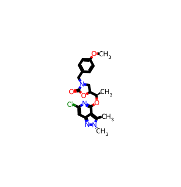 COc1ccc(CN2CC([C@@H](C)Oc3nc(Cl)cc4nn(C)c(C)c34)OC2=O)cc1